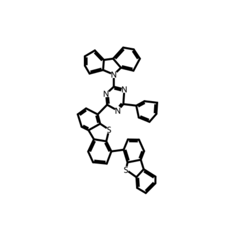 c1ccc(-c2nc(-c3cccc4c3sc3c(-c5cccc6c5sc5ccccc56)cccc34)nc(-n3c4ccccc4c4ccccc43)n2)cc1